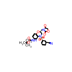 CC(C)(C)OC(=O)Nc1ccc2c(c1)N(S(=O)(=O)c1cccc(C#N)c1)C[C@H](CN1C(=O)COC1=O)O2